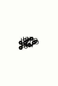 O=C(Nc1ccccc1)Nc1ccc(OC(c2ccccc2)c2ccccc2)c(C(=O)N2CCN(Cc3ccc4c(c3)OCO4)CC2)c1